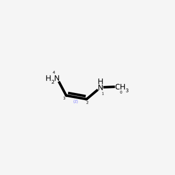 CN/C=C\N